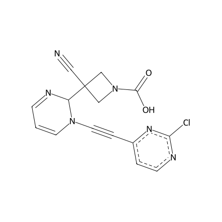 N#CC1(C2N=CC=CN2C#Cc2ccnc(Cl)n2)CN(C(=O)O)C1